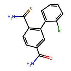 NC(=O)c1ccc(C(N)=S)c(-c2ccccc2Br)c1